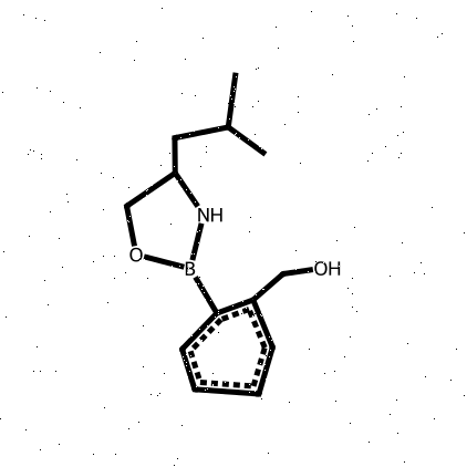 CC(C)CC1COB(c2ccccc2CO)N1